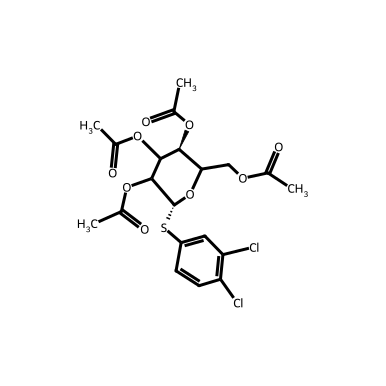 CC(=O)OCC1O[C@H](Sc2ccc(Cl)c(Cl)c2)C(OC(C)=O)C(OC(C)=O)[C@H]1OC(C)=O